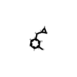 Cc1cccc(CC2CC2)c1